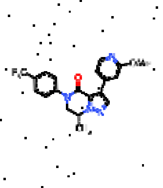 COc1cc(-c2cnn3c2C(=O)N(c2ccc(C(F)(F)F)cc2)CC3C)ccn1